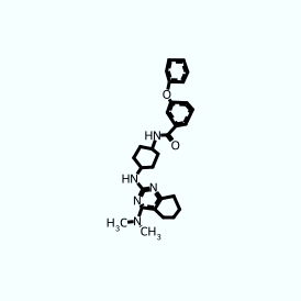 CN(C)c1nc(NC2CCC(NC(=O)c3cccc(Oc4ccccc4)c3)CC2)nc2c1CCCC2